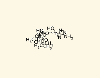 CC(C)(C)OC(=O)C(OP(=O)(O)COCCC(CO)n1cnc2c(N)ncnc21)C(=O)OC(C)(C)C